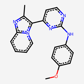 COc1ccc(Nc2nccc(-c3c(C)nc4ccccn34)n2)cc1